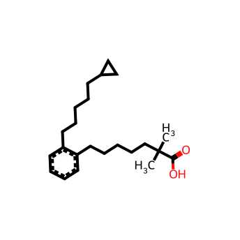 CC(C)(CCCCCc1ccccc1CCCCCC1CC1)C(=O)O